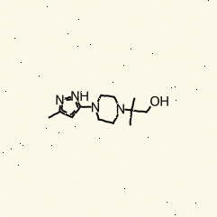 Cc1cc(N2CCN(C(C)(C)CO)CC2)[nH]n1